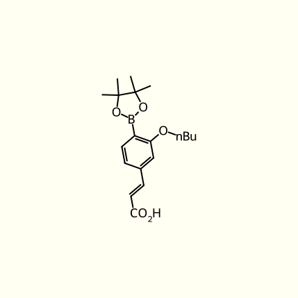 CCCCOc1cc(/C=C/C(=O)O)ccc1B1OC(C)(C)C(C)(C)O1